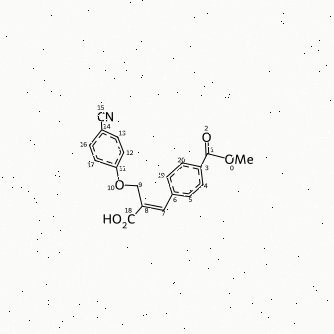 COC(=O)c1ccc(C=C(COc2ccc(C#N)cc2)C(=O)O)cc1